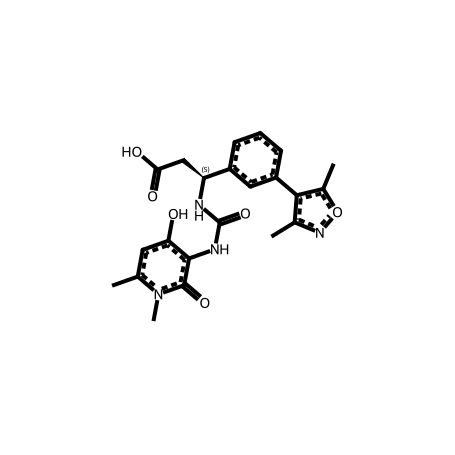 Cc1noc(C)c1-c1cccc([C@H](CC(=O)O)NC(=O)Nc2c(O)cc(C)n(C)c2=O)c1